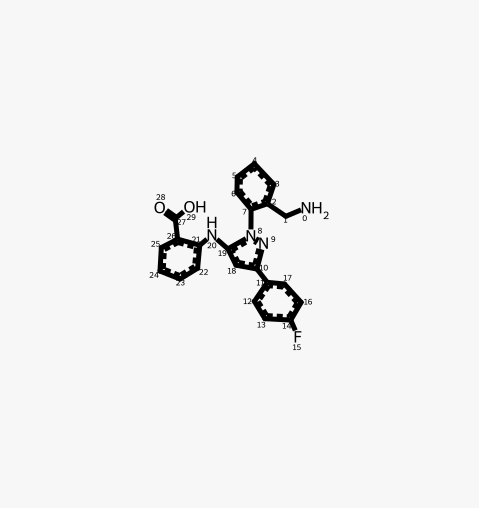 NCc1ccccc1-n1nc(-c2ccc(F)cc2)cc1Nc1ccccc1C(=O)O